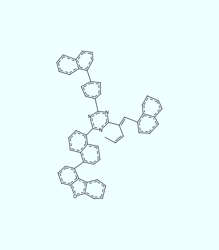 C/C=C\C(=C/c1cccc2ccccc12)c1nc(-c2ccc(-c3cccc4ccccc34)cc2)nc(-c2cccc3c(-c4cccc5oc6ccccc6c45)cccc23)n1